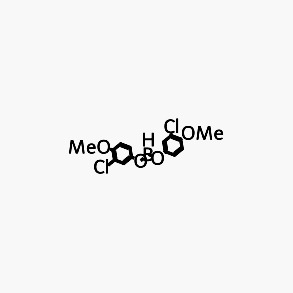 COc1ccc(OBOc2ccc(OC)c(Cl)c2)cc1Cl